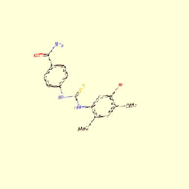 COc1cc(OC)c(NC(=S)Nc2ccc(C(N)=O)cc2)cc1Br